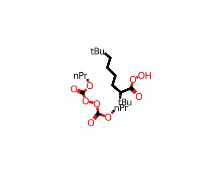 CC(C)(C)CCCCC(C(=O)OO)C(C)(C)C.CCCOC(=O)OOC(=O)OCCC